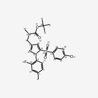 Cc1ccc(-n2nc(CN(C)C(=O)OC(C)(C)C)cc2S(=O)(=O)c2ccc(Cl)nc2)c(F)c1